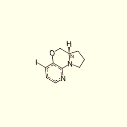 Ic1ccnc2c1OC[C@@H]1CCCN21